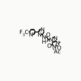 CC(=O)Cn1c(=O)c2c(ncn2[C@@H](C)C(=O)Nc2cncc(-c3ccc(C(F)(F)F)nc3)n2)n(C)c1=O